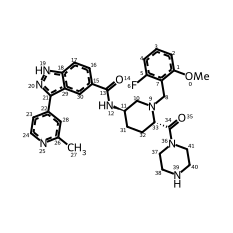 COc1cccc(F)c1CN1C[C@H](NC(=O)c2ccc3[nH]nc(-c4ccnc(C)c4)c3c2)CC[C@H]1C(=O)N1CCNCC1